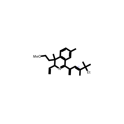 C=CC1N=C(C(=C)/C=C(\C)C(C)(C)CC)c2cc(C)ccc2C1(C)CCOC